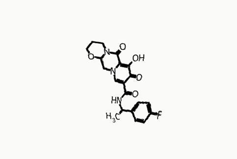 CC(NC(=O)c1cn2c(c(O)c1=O)C(=O)N1CCCOC1C2)c1ccc(F)cc1